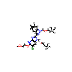 COCCOc1nc2nc(-c3nn(COCC[Si](C)(C)C)c4c3C[C@@H]3C[C@]3(C)C4)n(COCC[Si](C)(C)C)c2cc1Br